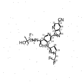 CC(C)(O)[C@H](F)CNC(=O)c1cnc(-n2ncc3cc(C#N)cnc32)cc1Nc1ccn(CC(F)F)n1